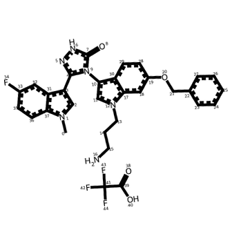 Cn1cc(-c2n[nH]c(=O)n2-c2cn(CCCN)c3cc(OCc4ccccc4)ccc23)c2cc(F)ccc21.O=C(O)C(F)(F)F